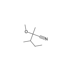 CCC(C)C(C)(C#N)OC